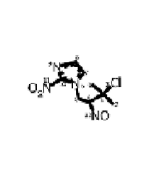 CC(C)(Cl)C(Cn1ccnc1[N+](=O)[O-])N=O